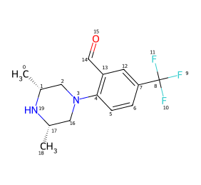 C[C@@H]1CN(c2ccc(C(F)(F)F)cc2C=O)C[C@H](C)N1